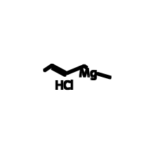 CC=C[CH2][Mg][CH3].Cl